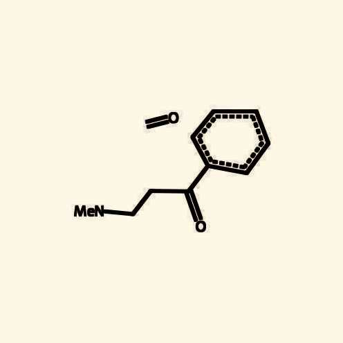 C=O.CNCCC(=O)c1ccccc1